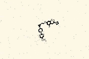 Cc1cnc(N2CCC([C@H]3C[C@H]3CCOc3cc(F)c(CC(=O)N4CCC4)c(F)c3)CC2)nc1